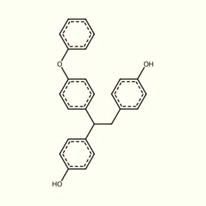 Oc1ccc(CC(c2ccc(O)cc2)c2ccc(Oc3ccccc3)cc2)cc1